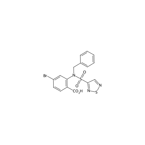 O=C(O)c1ccc(Br)cc1N(Cc1ccccc1)S(=O)(=O)c1cnsn1